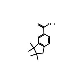 C=C(C=O)c1ccc2c(c1)C(C)(C)C(C)(C)C2